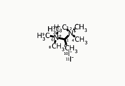 CC([N+](C)(C)C)[N+](C)(C)C.[I-].[I-]